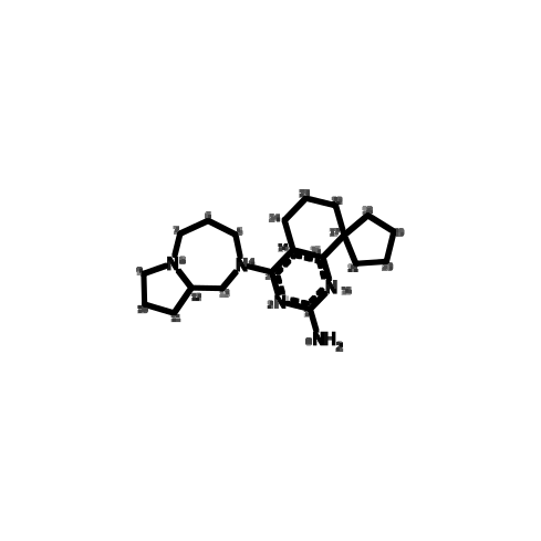 Nc1nc(N2CCCN3CCCC3C2)c2c(n1)C1(CCCC1)CCC2